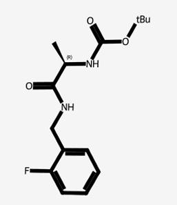 C[C@@H](NC(=O)OC(C)(C)C)C(=O)NCc1ccccc1F